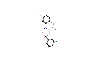 CCOC(=O)c1ccc(CC(C)N2CCOC(O)(c3cccc(Cl)c3)C2)cc1